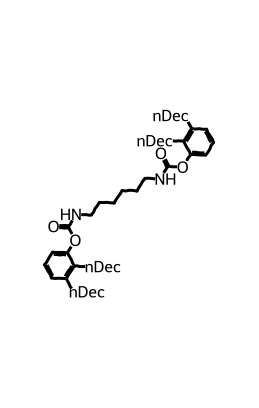 CCCCCCCCCCc1cccc(OC(=O)NCCCCCCNC(=O)Oc2cccc(CCCCCCCCCC)c2CCCCCCCCCC)c1CCCCCCCCCC